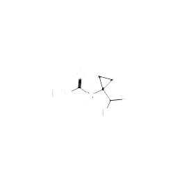 CC(=O)NC1(C(F)F)CC1